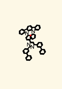 c1ccc(-c2cccc(-c3cc(-c4ccc(-n5c6ccccc6c6ccc7c8ccccc8n(-c8ccccc8)c7c65)cc4)nc(-c4cccc(-c5ccccc5)c4)n3)c2)cc1